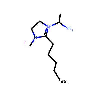 CCCCCCCCCCCCC1=[N+](C(C)N)CCN1C.[I-]